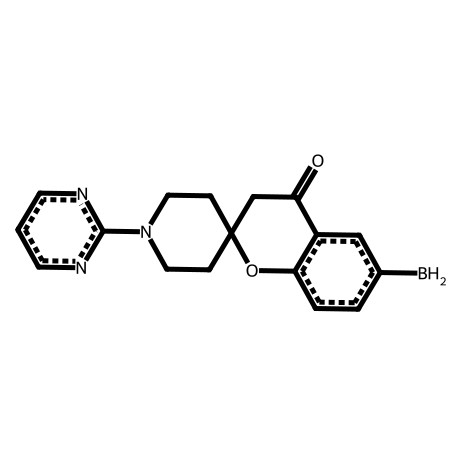 Bc1ccc2c(c1)C(=O)CC1(CCN(c3ncccn3)CC1)O2